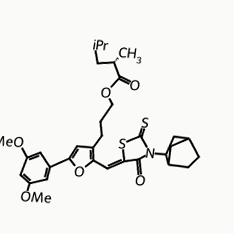 COc1cc(OC)cc(-c2cc(CCCOC(=O)[C@@H](C)CC(C)C)c(/C=C3\SC(=S)N(C4CC5CCC4C5)C3=O)o2)c1